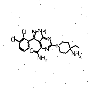 CCC1(N)CCN(c2nc(C(N)=O)c3c(-c4cccc(Cl)c4Cl)n[nH]c3n2)CC1